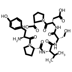 CC(C)[C@H](NC(=O)[C@@H]1CCCN1C(=O)[C@@H](N)Cc1ccc(O)cc1)C(=O)N[C@@H](CO)C(=O)N[C@@H](CC(=O)O)C(=O)N1CCC[C@H]1C(=O)O